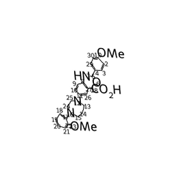 COc1ccc(C(=O)Nc2ccc(N3CCCN(c4ccccc4OC)CC3)cc2C(=O)O)cc1